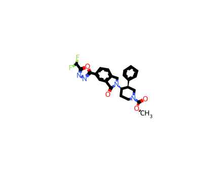 COC(=O)N1CC[C@@H](N2Cc3ccc(-c4nnc(C(F)F)o4)cc3C2=O)[C@@H](c2ccccc2)C1